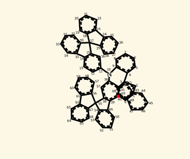 c1ccc(-c2ccccc2N(c2ccc3c(c2)C2(c4ccccc4-c4ccccc42)c2ccccc2-3)c2cc3c(c4c2oc2ccccc24)-c2ccccc2C32c3ccccc3-c3ccccc32)cc1